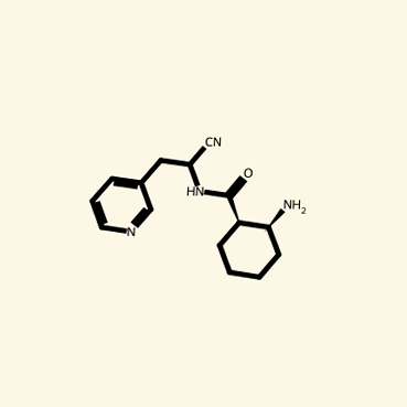 N#CC(Cc1cccnc1)NC(=O)[C@@H]1CCCC[C@@H]1N